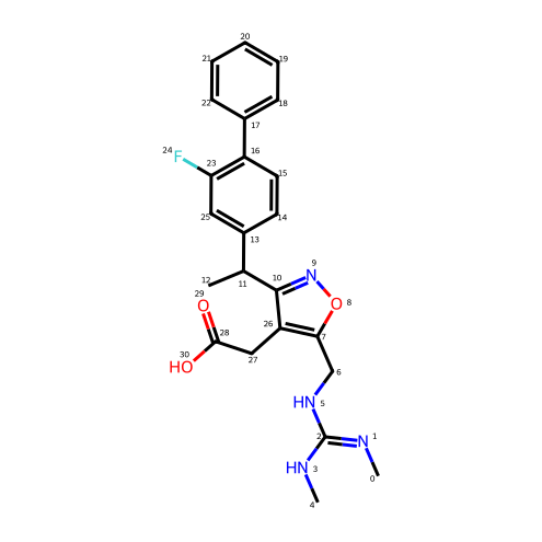 CN=C(NC)NCc1onc(C(C)c2ccc(-c3ccccc3)c(F)c2)c1CC(=O)O